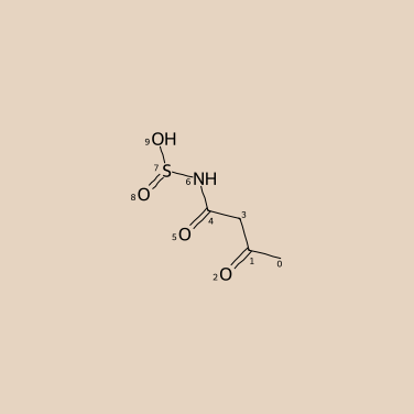 CC(=O)CC(=O)NS(=O)O